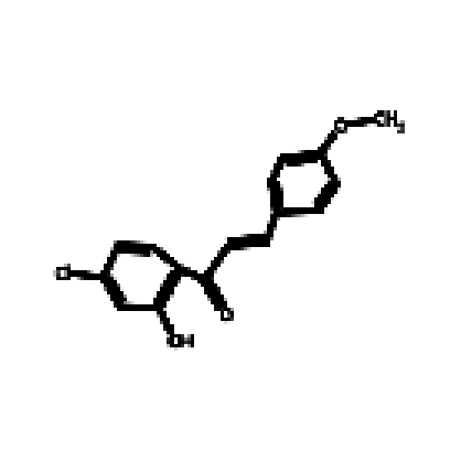 COc1ccc(/C=C/C(=O)c2ccc(Cl)cc2O)cc1